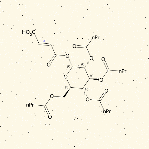 CCCC(=O)OC[C@H]1O[C@H](OC(=O)/C=C/C(=O)O)[C@H](OC(=O)CCC)[C@@H](OC(=O)CCC)[C@@H]1OC(=O)CCC